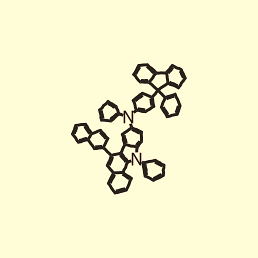 c1ccc(N(c2ccc(C3(c4ccccc4)c4ccccc4-c4ccccc43)cc2)c2ccc3c(c2)c2c(-c4ccc5ccccc5c4)cc4ccccc4c2n3-c2ccccc2)cc1